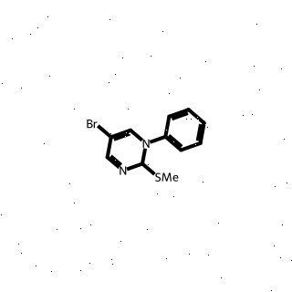 CSC1N=CC(Br)=CN1c1ccccc1